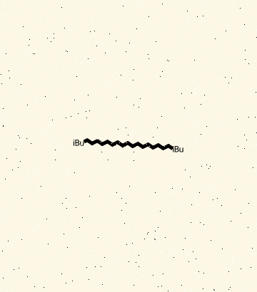 CCC(C)CCCCCCC[CH]CCCCCCCCCC(C)CC